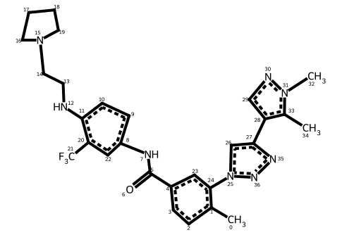 Cc1ccc(C(=O)Nc2ccc(NCCN3CCCC3)c(C(F)(F)F)c2)cc1-n1cc(-c2cnn(C)c2C)nn1